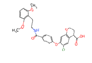 COc1cccc(OC)c1CCNC(=O)c1ccc(Oc2cc3c(cc2Cl)C(C(=O)O)CCO3)cc1